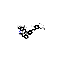 C=Cc1cc(CC)c(CCc2cccc(CCc3cc(C)c(C)cc3CC)c2)cc1/N=C\C(C)CC1=C(C)C=CCC1